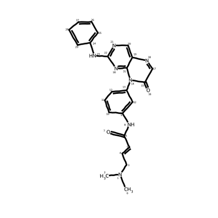 CN(C)C/C=C/C(=O)Nc1cccc(-n2c(=O)cnc3cnc(Nc4ccccc4)nc32)c1